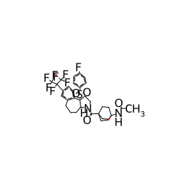 CC(=O)NC12CCC(C(=O)N3CC[C@]4(S(=O)(=O)c5ccc(F)cc5)c5ccc(C(F)(C(F)(F)F)C(F)(F)F)cc5CCC[C@H]34)(CC1)CC2